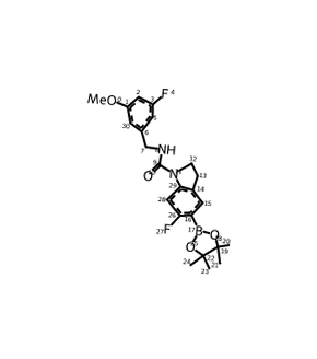 COc1cc(F)cc(CNC(=O)N2CCc3cc(B4OC(C)(C)C(C)(C)O4)c(F)cc32)c1